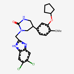 COc1ccc(C2CNC(=O)N(Cc3nc4cc(Cl)c(Cl)cc4[nH]3)C2)cc1OC1CCCC1